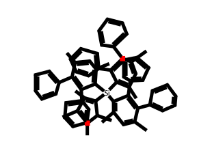 CC1=C(C)C(C)C([Si](c2c(C)cc(C)c(-c3ccccc3)c2-c2ccccc2)(c2c(C)cc(C)c(-c3ccccc3)c2-c2ccccc2)c2c(C)cc(C)c(-c3ccccc3)c2-c2ccccc2)=C1C